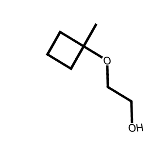 CC1(OCCO)CCC1